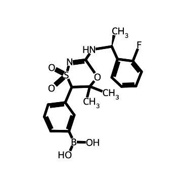 C[C@H](NC1=NS(=O)(=O)C(c2cccc(B(O)O)c2)C(C)(C)O1)c1ccccc1F